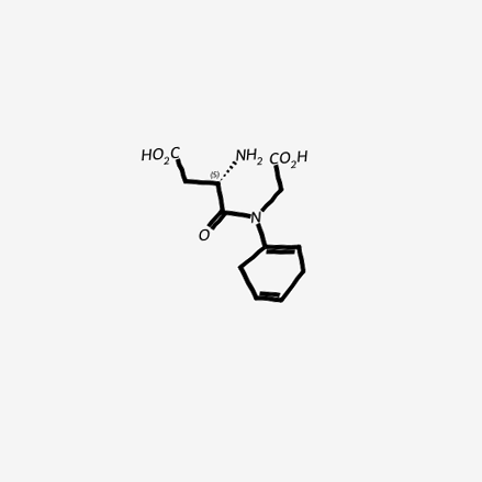 N[C@@H](CC(=O)O)C(=O)N(CC(=O)O)C1=CCC=CC1